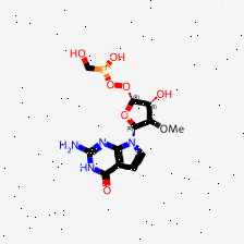 COC1[C@@H](O)[C@@H](OOP(O)CO)O[C@H]1n1ccc2c(=O)[nH]c(N)nc21